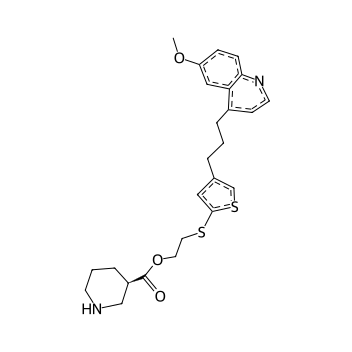 COc1ccc2nccc(CCCc3csc(SCCOC(=O)[C@@H]4CCCNC4)c3)c2c1